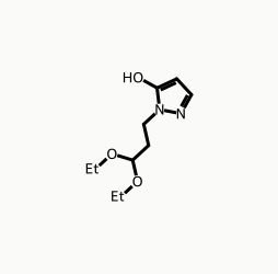 CCOC(CCn1nccc1O)OCC